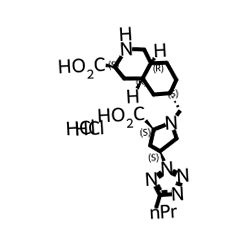 CCCc1nnn([C@H]2C[C@@H](C(=O)O)N(C[C@H]3CC[C@H]4CN[C@H](C(=O)O)C[C@H]4C3)C2)n1.Cl.Cl